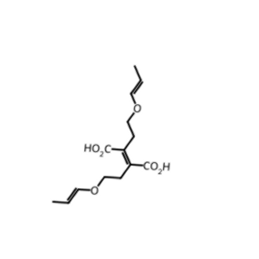 CC=COCC/C(C(=O)O)=C(/CCOC=CC)C(=O)O